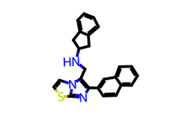 c1ccc2c(c1)CC(NCc1c(-c3ccc4ccccc4c3)nc3sccn13)C2